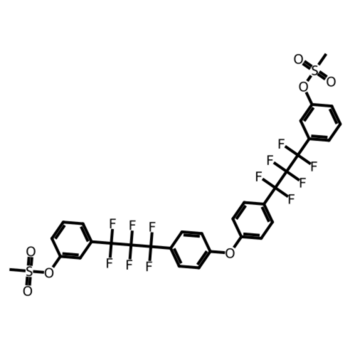 CS(=O)(=O)Oc1cccc(C(F)(F)C(F)(F)C(F)(F)c2ccc(Oc3ccc(C(F)(F)C(F)(F)C(F)(F)c4cccc(OS(C)(=O)=O)c4)cc3)cc2)c1